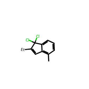 CCC1=Cc2c(C)cccc2C1(Cl)Cl